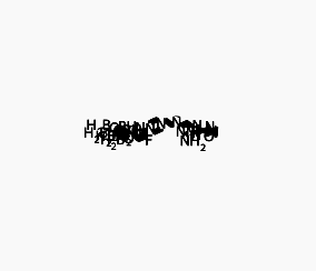 BC(B)(B)OC(B)(B)C(B)(B)Oc1cnc(N2CCN(CCN(C)c3cc4nc(-c5ncco5)nn4c(N)n3)CC2)c(F)c1